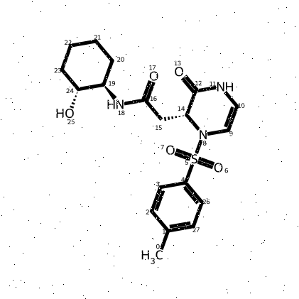 Cc1ccc(S(=O)(=O)N2C=CNC(=O)[C@H]2CC(=O)N[C@@H]2CCCC[C@H]2O)cc1